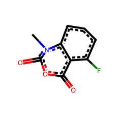 Cn1c(=O)oc(=O)c2c(F)cccc21